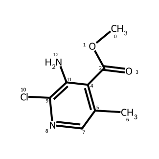 COC(=O)c1c(C)cnc(Cl)c1N